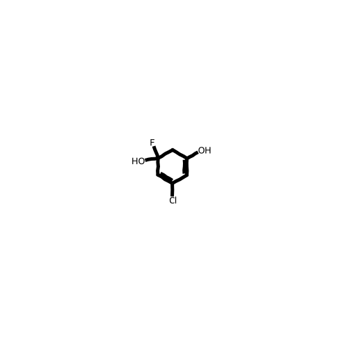 OC1=CC(Cl)=CC(O)(F)C1